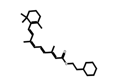 CC1=C(/C=C/C(C)=C\C=C\C(C)=C\C(=O)OCCC2CCCCC2)C(C)(C)CCC1